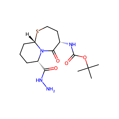 CC(C)(C)OC(=O)N[C@H]1CCS[C@H]2CCC[C@@H](C(=O)NN)N2C1=O